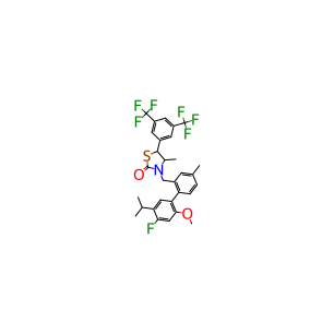 COc1cc(F)c(C(C)C)cc1-c1ccc(C)cc1CN1C(=O)SC(c2cc(C(F)(F)F)cc(C(F)(F)F)c2)C1C